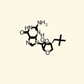 CC(C)(C)C[C@]12COC(C(n3cnc4c(=O)[nH]c(N)nc43)O1)C2O